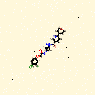 O=C(COc1ccc(Cl)c(F)c1)NC12CC(NC(=O)c3ccc(C4=CCOCC4)nc3)(C1)C2